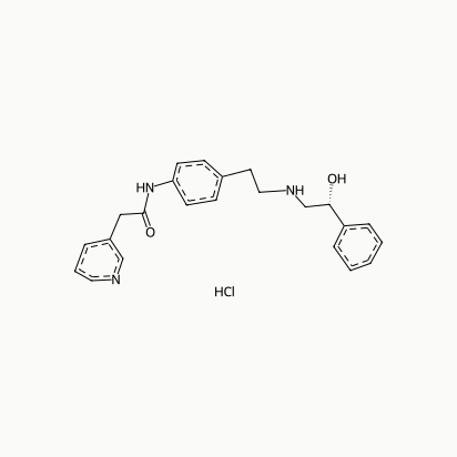 Cl.O=C(Cc1cccnc1)Nc1ccc(CCNC[C@H](O)c2ccccc2)cc1